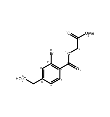 COC(=O)COC(=O)c1ccc(CC(=O)O)cc1Br